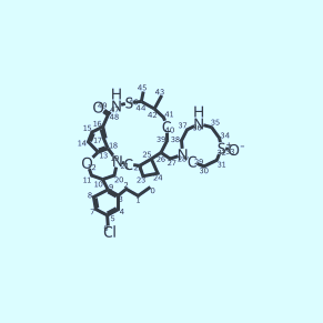 CCCc1cc(Cl)ccc1C1COc2ccc3cc2N(C1)CC1CCC1C(CN1CCC[S+]([O-])CCNCC1)CCCC(C)C(C)SNC3=O